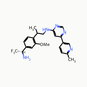 COc1cc([C@H](N)C(F)(F)F)ccc1C(C)CNc1cc(-c2ccc(C)nc2)ncn1